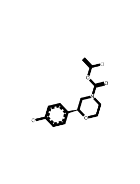 C=C(Cl)OC(=O)N1CCO[C@@H](c2ccc(Cl)cc2)C1